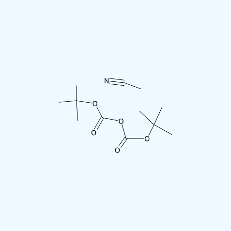 CC#N.CC(C)(C)OC(=O)OC(=O)OC(C)(C)C